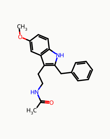 COc1ccc2[nH]c(Cc3ccccc3)c(CCNC(C)=O)c2c1